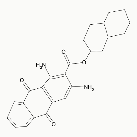 Nc1cc2c(c(N)c1C(=O)OC1CCC3CCCCC3C1)C(=O)c1ccccc1C2=O